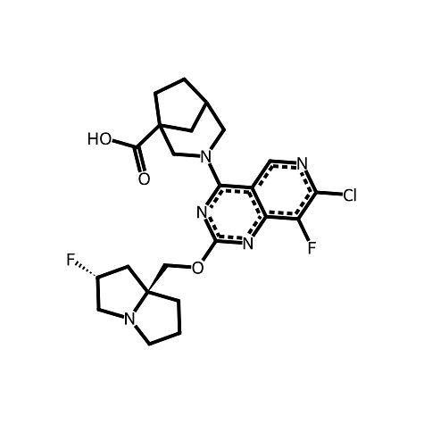 O=C(O)C12CCC(CN(c3nc(OC[C@@]45CCCN4C[C@H](F)C5)nc4c(F)c(Cl)ncc34)C1)C2